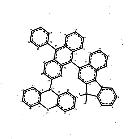 CC1(C)c2ccccc2-c2c1cc(-c1c3ccccc3c(-c3ccccc3)c3ccc(N4c5ccccc5Sc5ccccc54)cc13)c1ccccc21